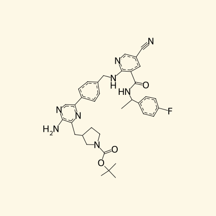 CC(NC(=O)c1cc(C#N)cnc1NCc1ccc(-c2cnc(N)c(CC3CCN(C(=O)OC(C)(C)C)C3)n2)cc1)c1ccc(F)cc1